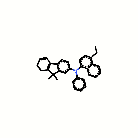 CCc1ccc(N(c2ccccc2)c2ccc3c(c2)C(C)(C)C2=C3C=CCC2)c2ccccc12